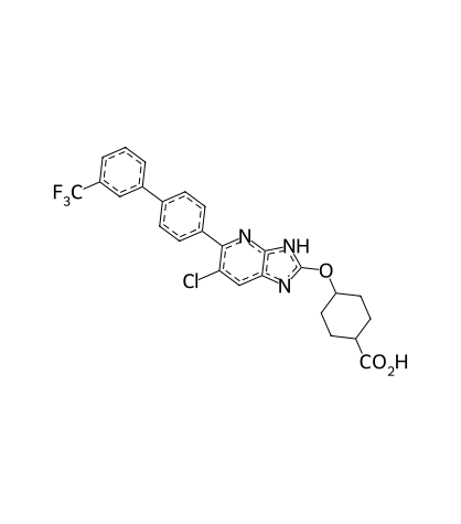 O=C(O)C1CCC(Oc2nc3cc(Cl)c(-c4ccc(-c5cccc(C(F)(F)F)c5)cc4)nc3[nH]2)CC1